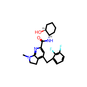 CN1CCc2c(Cc3cccc(F)c3F)cc(C(=O)N[C@H]3CCCC[C@@H]3O)nc21